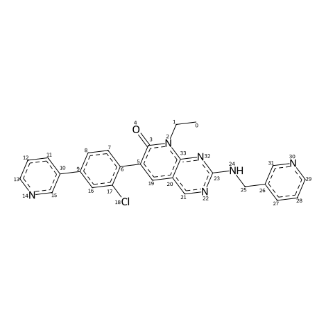 CCn1c(=O)c(-c2ccc(-c3cccnc3)cc2Cl)cc2cnc(NCc3cccnc3)nc21